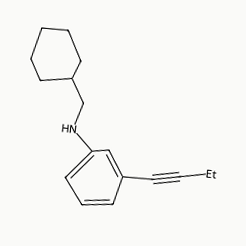 CCC#Cc1cccc(NCC2CCCCC2)c1